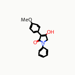 COc1ccc(C2=C(O)CN(c3ccccc3)C2=O)cc1